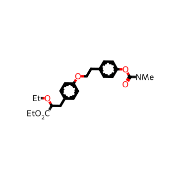 CCOC(=O)C(Cc1ccc(OCCc2ccc(OC(=O)NC)cc2)cc1)OCC